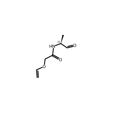 C=COCC(=O)N[C@@H](C)C=O